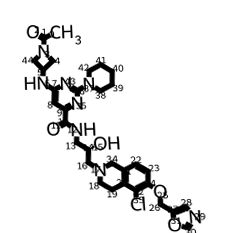 CC(=O)N1CC(Nc2cc(C(=O)NC[C@H](O)CN3CCc4c(ccc(OCc5cnco5)c4Cl)C3)nc(N3CCCCC3)n2)C1